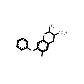 O=C(O)C1Cc2cc(Cl)c(Oc3ccccc3)cc2OC1C(F)(F)F